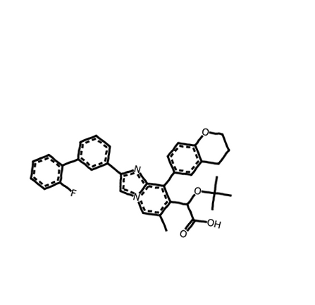 Cc1cn2cc(-c3cccc(-c4ccccc4F)c3)nc2c(-c2ccc3c(c2)CCCO3)c1C(OC(C)(C)C)C(=O)O